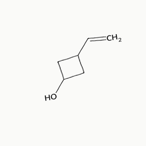 C=CC1CC(O)C1